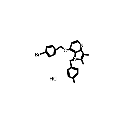 Cc1ccc(Cn2c(C)c(C)c3nccc(OCc4ccc(Br)cc4)c32)cc1.Cl